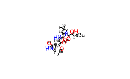 CC(C)(C)CC(O)C(=O)N1CC2(CC2)C[C@H]1C(=O)N[C@@H](C[C@@H]1CCNC1=O)C(=O)COC(F)(F)F